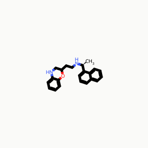 C[C@@H](NCCC1CNc2ccccc2O1)c1cccc2ccccc12